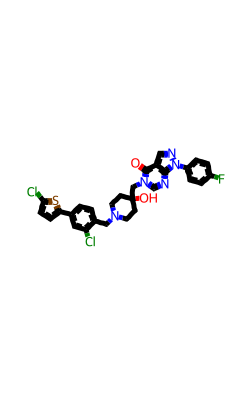 O=c1c2cnn(-c3ccc(F)cc3)c2ncn1CC1(O)CCN(Cc2ccc(-c3ccc(Cl)s3)cc2Cl)CC1